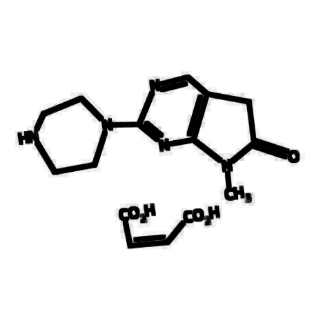 CN1C(=O)Cc2cnc(N3CCNCC3)nc21.O=C(O)/C=C\C(=O)O